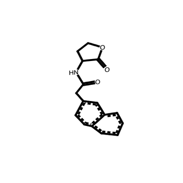 O=C(Cc1ccc2ccccc2c1)NC1CCOC1=O